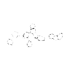 C1=C(c2ccccc2)C=C(c2nc(-c3ccccc3)nc(-c3ccccc3-n3c4ccccc4c4cc(-c5ccc6c(c5)oc5ccccc56)ccc43)n2)CC1